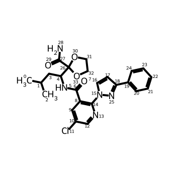 CC(C)CC(NC(=O)c1cc(Cl)cnc1-n1ccc(-c2ccccc2)n1)C1(C(N)=O)OCCO1